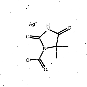 CC1(C)C(=O)NC(=O)N1C(=O)[O-].[Ag+]